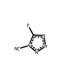 N#Cn1nnnc1F